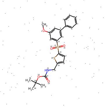 COc1cc(-c2ccccc2)cc(S(=O)(=O)c2ccc(CNC(=O)OC(C)(C)C)s2)c1